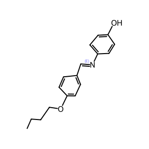 CCCCOc1ccc(/C=N/c2ccc(O)cc2)cc1